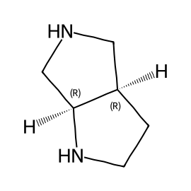 C1C[C@@H]2CNC[C@@H]2N1